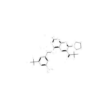 C=C(c1cc2c(N[C@H](C)c3cc([N+](=O)[O-])cc(C(F)(F)F)c3)nc(C)nc2nc1N1CCCC1)C(F)(F)F